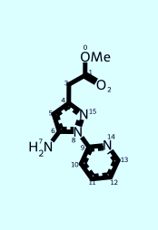 COC(=O)Cc1cc(N)n(-c2ccccn2)n1